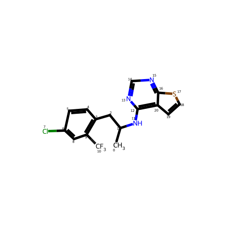 CC(Cc1ccc(Cl)cc1C(F)(F)F)Nc1ncnc2sccc12